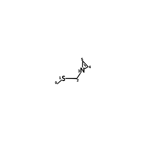 CSCN1C=C1